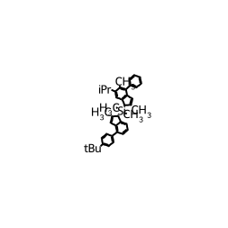 CC1=Cc2c(-c3ccc(C(C)(C)C)cc3)cccc2C1[Si](C)(C)C1C(C)=Cc2c1cc(C(C)C)c(C)c2-c1ccccc1